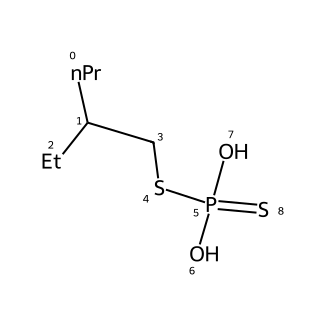 CCCC(CC)CSP(O)(O)=S